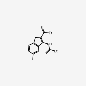 C=C(CC)NC1=C(C(=S)CC)Cc2ccc(C)cc21